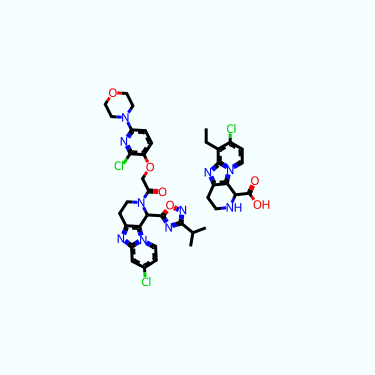 CC(C)c1noc(C2c3c(nc4cc(Cl)ccn34)CCN2C(=O)COc2ccc(N3CCOCC3)nc2Cl)n1.CCc1c(Cl)ccn2c3c(nc12)CCNC3C(=O)O